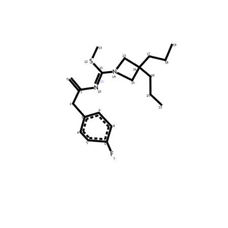 C=C(Cc1ccc(F)cc1)/N=C(\SC)N1CC(CCC)(CCC)C1